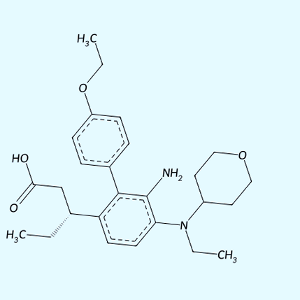 CCOc1ccc(-c2c([C@H](CC)CC(=O)O)ccc(N(CC)C3CCOCC3)c2N)cc1